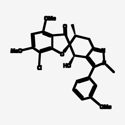 COc1cccc(-c2c3c(nn2C)C[C@@H](C)[C@]2(Oc4c(Cl)c(OC)cc(OC)c4C2=O)[C@H]3O)c1